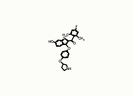 Cc1cc(F)cc(C)c1C(=O)c1sc2cc(O)ccc2c1Oc1ccc(OC2CCNC2)cc1